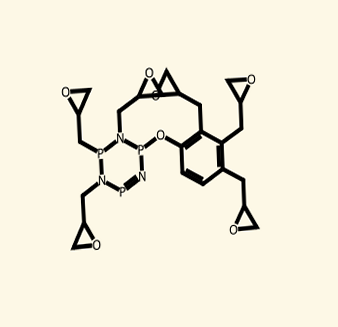 c1cc(Op2npn(CC3CO3)p(CC3CO3)n2CC2CO2)c(CC2CO2)c(CC2CO2)c1CC1CO1